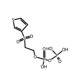 O=P(O)(O)OP(=O)(O)OCCS(=O)(=O)c1ccsc1